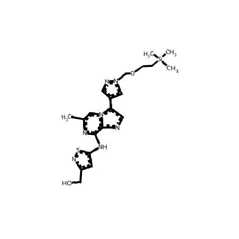 Cc1cn2c(-c3cnn(COCC[Si](C)(C)C)c3)cnc2c(Nc2cc(CO)ns2)n1